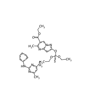 CCOC(=O)c1cn2nc(OP(=S)(OCC)OCC)cc2nc1C.Cc1cc(C)nc(Nc2ccccc2)n1